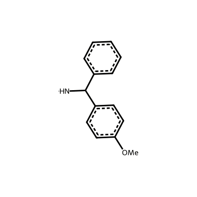 COc1ccc(C([NH])c2ccccc2)cc1